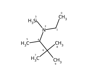 CCN([SiH3])C(C)C(C)(C)C